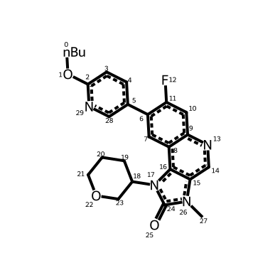 CCCCOc1ccc(-c2cc3c(cc2F)ncc2c3n(C3CCCOC3)c(=O)n2C)cn1